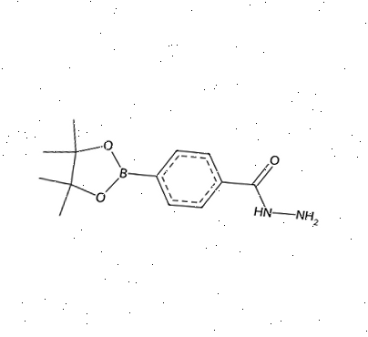 CC1(C)OB(c2ccc(C(=O)NN)cc2)OC1(C)C